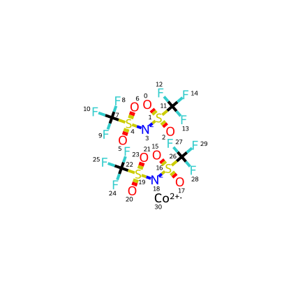 O=S(=O)([N-]S(=O)(=O)C(F)(F)F)C(F)(F)F.O=S(=O)([N-]S(=O)(=O)C(F)(F)F)C(F)(F)F.[Co+2]